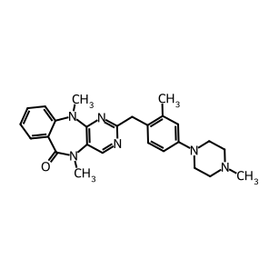 Cc1cc(N2CCN(C)CC2)ccc1Cc1ncc2c(n1)N(C)c1ccccc1C(=O)N2C